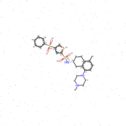 Cc1ccc(N2CCN(C)CC2)c2c1CC[C@@H](NS(=O)(=O)c1cc(S(=O)(=O)c3ccccc3)cs1)C2